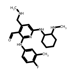 CNCc1cc(NC2CCCCC2NC)nc(Nc2ccc(F)c(C)c2)c1C=O